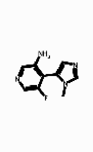 Cn1cncc1-c1c(N)cncc1F